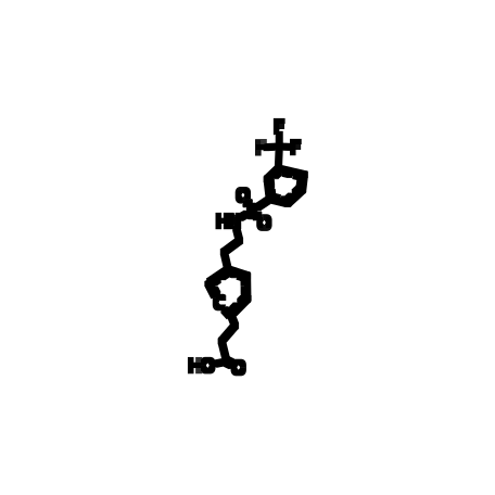 O=C(O)CCc1ccc(CCNS(=O)(=O)c2cccc(C(F)(F)F)c2)cc1